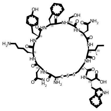 CC[C@H](C)[C@@H]1NC(=O)[C@H](CC(N)=O)NC(=O)[C@H](CO)NC(=O)[C@H](Cc2ccccc2)NC(=O)[C@H](Cc2ccc(O)cc2)NC(=O)[C@H](CCCCN)NC(=O)[C@H](CC(N)=O)NC(=O)[C@H](N)CSSC[C@@H](C(=O)N[C@@H](Cc2c[nH]c3ccccc23)C(=O)O)NC1=O